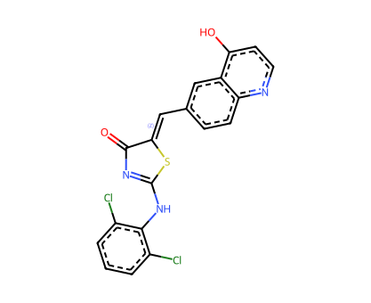 O=C1N=C(Nc2c(Cl)cccc2Cl)S/C1=C\c1ccc2nccc(O)c2c1